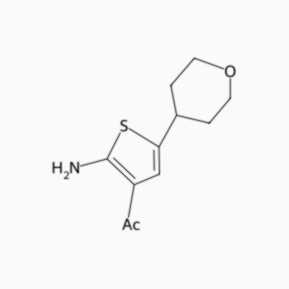 CC(=O)c1cc(C2CCOCC2)sc1N